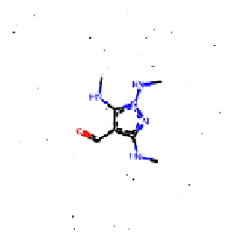 CNc1nn(NC)c(NC)c1C=O